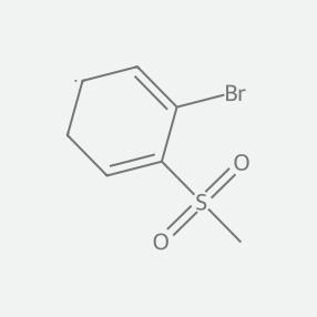 CS(=O)(=O)C1=CC[CH]C=C1Br